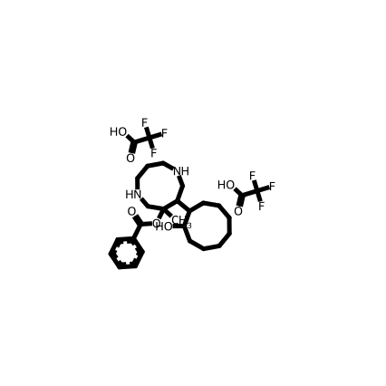 CC1(OC(=O)c2ccccc2)CNCCCNCC1C1CCCCCCCC1O.O=C(O)C(F)(F)F.O=C(O)C(F)(F)F